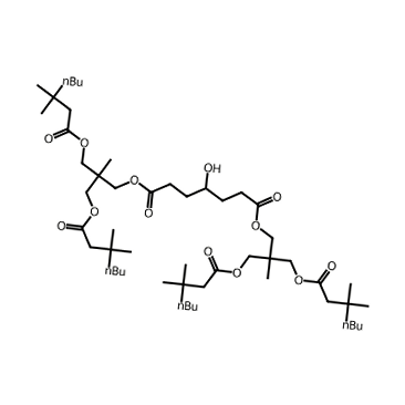 CCCCC(C)(C)CC(=O)OCC(C)(COC(=O)CCC(O)CCC(=O)OCC(C)(COC(=O)CC(C)(C)CCCC)COC(=O)CC(C)(C)CCCC)COC(=O)CC(C)(C)CCCC